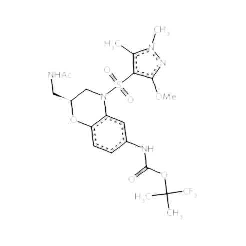 COc1nn(C)c(C)c1S(=O)(=O)N1C[C@H](CNC(C)=O)Oc2ccc(NC(=O)OC(C)(C)C(F)(F)F)cc21